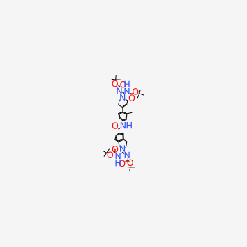 Cc1cc(NC(=O)c2ccc3c(c2)CCN(C(=NC(=O)OC(C)(C)C)NC(=O)OC(C)(C)C)C3)ccc1C1=CCN(C(=NC(=O)OC(C)(C)C)NC(=O)OC(C)(C)C)CC1